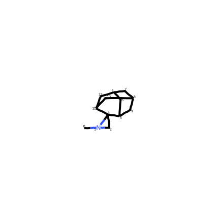 CN1CC12C1CC3CC(C1)CC2C3